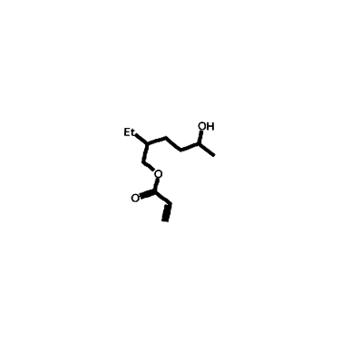 C=CC(=O)OCC(CC)CCC(C)O